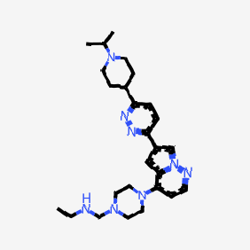 CCNCN1CCN(c2ccnn3cc(-c4ccc(C5CCN(C(C)C)CC5)nn4)cc23)CC1